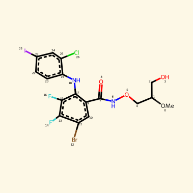 COC(CO)CONC(=O)c1cc(Br)c(F)c(F)c1Nc1ccc(I)cc1Cl